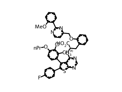 CCCOc1ccc(-c2c(-c3ccc(F)cc3)sc3ncnc(O[C@H](Cc4ccccc4OCc4ccnc(-c5ccccc5OC)n4)C(=O)O)c23)c(C)c1Cl